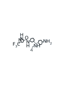 Nc1ccc(C(NCC2CC2)c2cccc(NC(=O)c3cc(C(F)(F)F)n[nH]3)c2)cc1